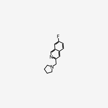 Fc1ccc2cc(CN3CCCC3)ncc2c1